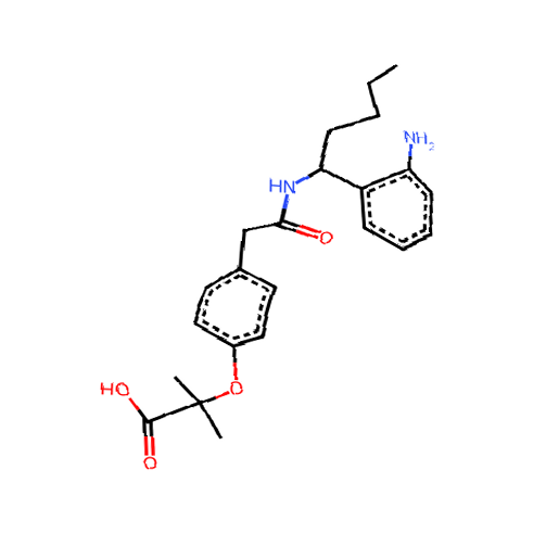 CCCCC(NC(=O)Cc1ccc(OC(C)(C)C(=O)O)cc1)c1ccccc1N